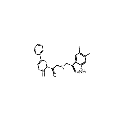 Cc1cc2[nH]cc(CSCC(=O)C3CC(c4ccccc4)=CCN3)c2cc1C